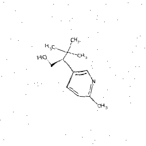 Cc1ccc([C@@H](CO)C(C)(C)C)cn1